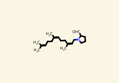 CC(C)=CCCC(C)=CCCC(C)=CCN1CCCC1C=O